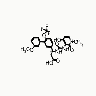 COc1cccc(-c2cc([C@H](CC(=O)O)NC(=O)Nc3c(O)ccn(C)c3=O)ccc2OC(F)(F)F)c1